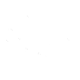 C=CC(=O)Nc1c(Nc2nc(Nc3cc(OC)ncc3C)ncc2C(F)(F)F)cccc1OCc1nccs1